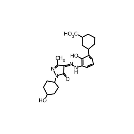 CC1=NN(C2CCC(O)CC2)C(=O)C1=NNc1cccc(C2CCCC(C(=O)O)C2)c1O